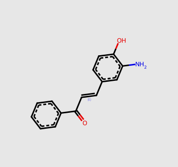 Nc1cc(/C=C/C(=O)c2ccccc2)ccc1O